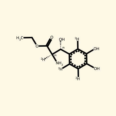 [2H]c1c([2H])c([C@@H](O)[C@@]([2H])(N)C(=O)OCC)c([2H])c(O)c1O